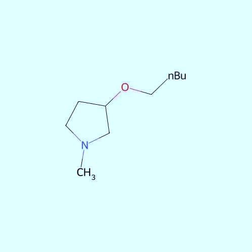 CCCCCOC1CCN(C)C1